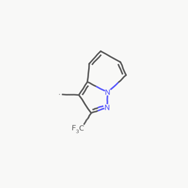 [CH2]c1c(C(F)(F)F)nn2ccccc12